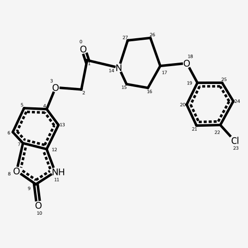 O=C(COc1ccc2oc(=O)[nH]c2c1)N1CCC(Oc2ccc(Cl)cc2)CC1